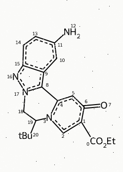 CCOC(=O)c1cn2c(cc1=O)-c1c3cc(N)ccc3nn1CC2C(C)(C)C